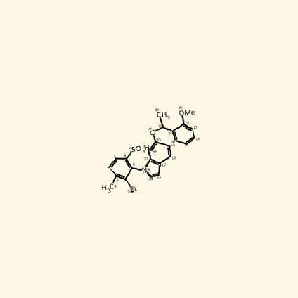 CCc1c(C)ccc(S(=O)(=O)O)c1-n1ccc2ccc(OC(C)c3ccccc3OC)cc21